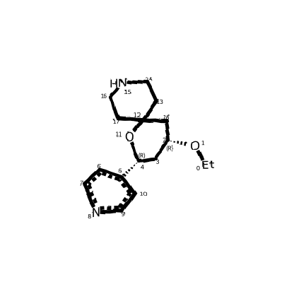 CCO[C@@H]1C[C@H](c2ccncc2)OC2(CCNCC2)C1